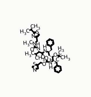 CC(C)c1nc(CN(C)C(=O)N[C@H](C(=O)N[C@@H](Cc2ccccc2)C[C@H](OC(C)(C)C)[C@H](Cc2ccccc2)NC(=O)OCc2cncs2)C(C)C)cs1